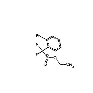 CCO[PH](=O)C(F)(F)c1ccccc1Br